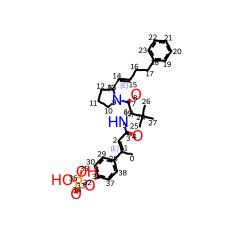 C/C(=C\C(=O)N[C@H](C(=O)N1CCC[C@H]1/C=C/CCc1ccccc1)C(C)(C)C)c1ccc(OP(=O)(O)O)cc1